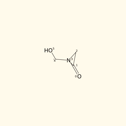 O=C1CN1[CH]O